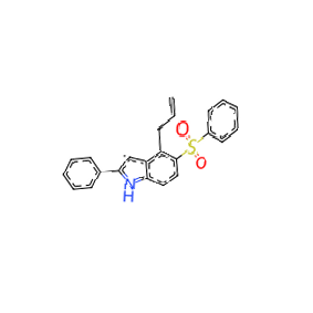 C=CCc1c(S(=O)(=O)c2ccccc2)ccc2[nH]c(-c3ccccc3)[c]c12